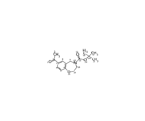 CC(=O)c1ccc2c(c1)CN(C(=O)OC(C)(C)C)CCO2